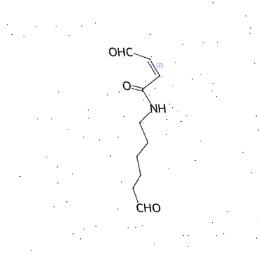 O=C/C=C\C(=O)NCCCCCC=O